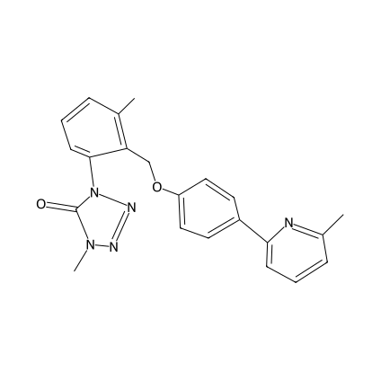 Cc1cccc(-c2ccc(OCc3c(C)cccc3-n3nnn(C)c3=O)cc2)n1